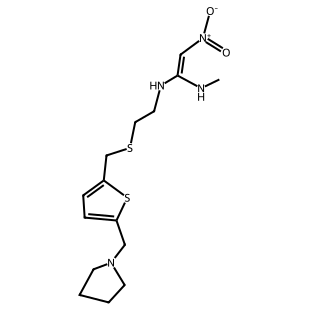 CNC(=C[N+](=O)[O-])NCCSCc1ccc(CN2CCCC2)s1